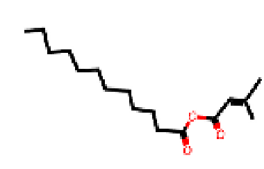 CCCCCCCCCCCC(=O)OC(=O)C=C(C)C